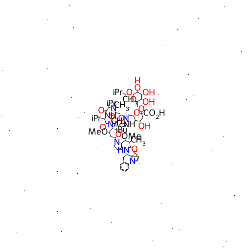 CCC(C)C(C(CC(=O)N1CCCC1C(OC)C(C)C(=O)NC(Cc1ccccc1)c1nccs1)OC)N(C)C(=O)C(NC(=O)C(C(C)C)N(C)C(=O)CO/N=C/C1OC(OCC2OC(OC(C)C(C)C)C(O)C(O)C2O)(C(=O)O)CC(O)C1NC(C)=O)C(C)C